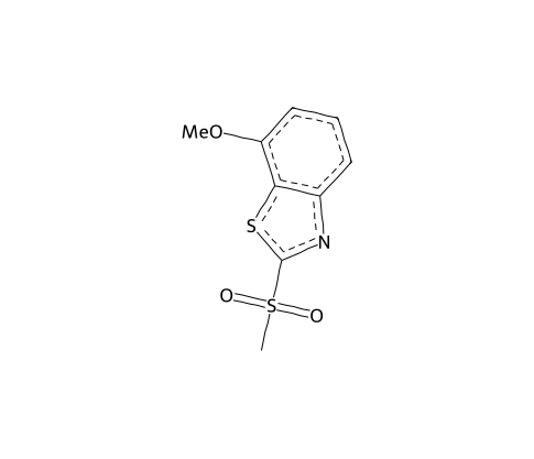 COc1cccc2nc(S(C)(=O)=O)sc12